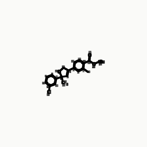 Cc1cc(C2=CC(c3cccc(Cl)c3)(C(F)(F)F)OC2)ccc1C(=O)OC(C)(C)C